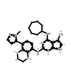 Cn1nccc1-c1ccc(Nc2nc(NC3CCCCCC3)c3c(C#N)c[nH]c3n2)c2c1OCCO2